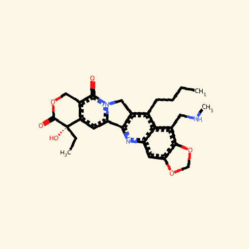 CCCCc1c2c(nc3cc4c(c(CNC)c13)OCO4)-c1cc3c(c(=O)n1C2)COC(=O)[C@]3(O)CC